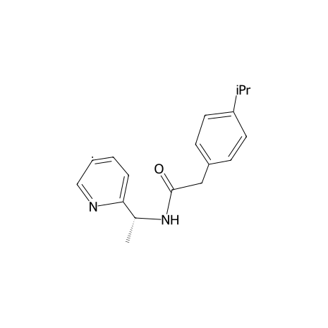 CC(C)c1ccc(CC(=O)N[C@H](C)c2cc[c]cn2)cc1